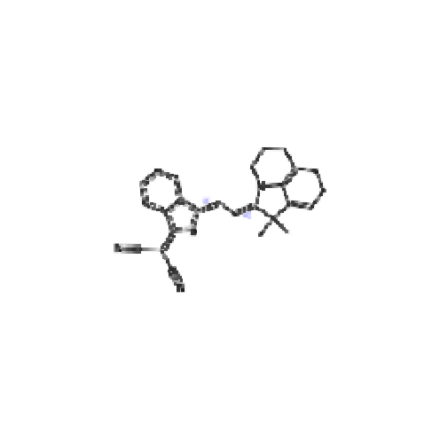 CC1(C)C2=CCCC3=C2N(CCC3)/C1=C\C=c1/sc(=C(C#N)C#N)c2ccccc12